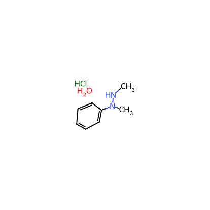 CNN(C)c1ccccc1.Cl.O